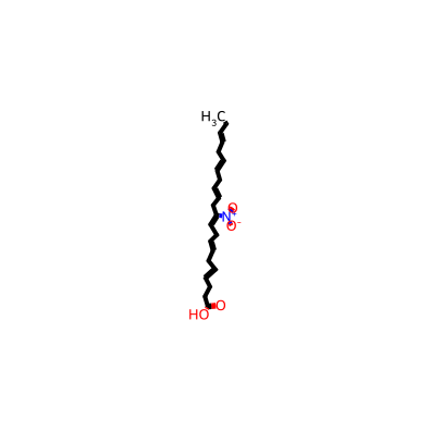 CCC=CCC=CCC=CCC(=CCC=CCC=CCCC(=O)O)[N+](=O)[O-]